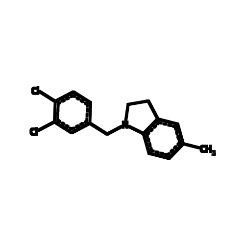 Cc1ccc2c(c1)CCN2Cc1ccc(Cl)c(Cl)c1